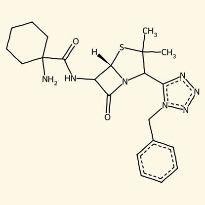 CC1(C)S[C@H]2C(NC(=O)C3(N)CCCCC3)C(=O)N2C1c1nnnn1Cc1ccccc1